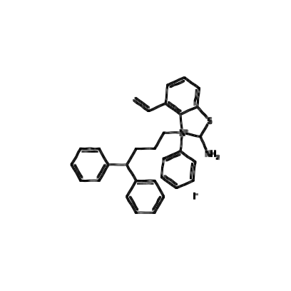 C=Cc1cccc2c1[N+](CCCC(c1ccccc1)c1ccccc1)(c1ccccc1)C(N)S2.[I-]